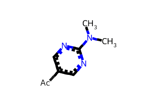 CC(=O)c1cnc(N(C)C)nc1